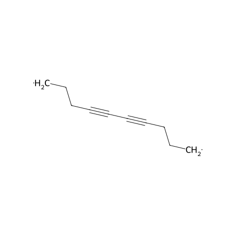 [CH2]CCC#CC#CCC[CH2]